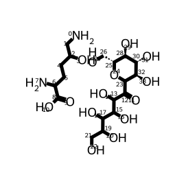 NCC(O)CCC(N)C(=O)O.O=C(C(O)C(O)C(O)C(O)CO)C1O[C@H](CO)[C@@H](O)[C@H](O)[C@H]1O